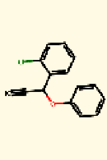 C#CC(Oc1ccccc1)c1ccccc1Cl